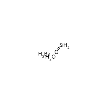 O.O=[SiH2].[BaH2]